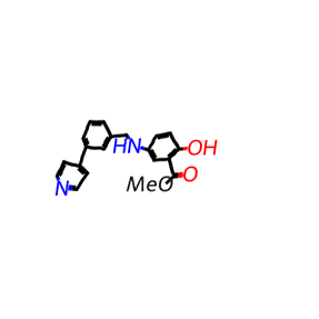 COC(=O)c1cc(NCc2cccc(-c3ccncc3)c2)ccc1O